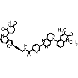 Cc1cc2c(N3CCCc4nc(-c5ccc(C(=O)NCC#Cc6cc7c(C8CCC(=O)NC8=O)nccc7o6)nc5)ncc43)cccc2n(C)c1=O